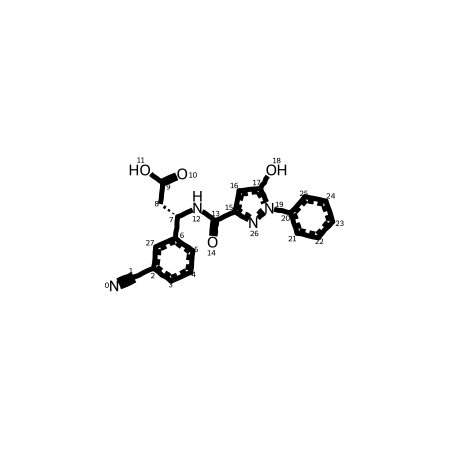 N#Cc1cccc([C@H](CC(=O)O)NC(=O)c2cc(O)n(-c3ccccc3)n2)c1